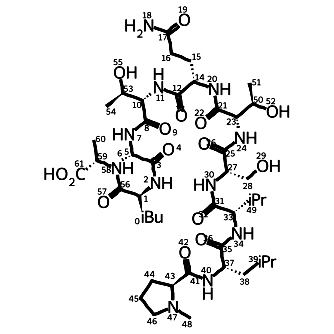 CC[C@H](C)[C@H](NC(=O)[C@H](C)NC(=O)[C@@H](NC(=O)[C@H](CCC(N)=O)NC(=O)[C@@H](NC(=O)[C@H](CO)NC(=O)[C@@H](NC(=O)[C@H](CC(C)C)NC(=O)[C@@H]1CCCN1C)C(C)C)[C@@H](C)O)[C@@H](C)O)C(=O)N[C@@H](C)C(=O)O